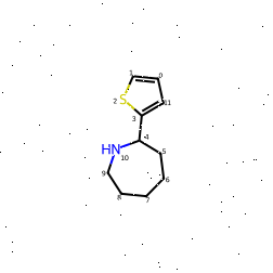 c1csc(C2CCCCCN2)c1